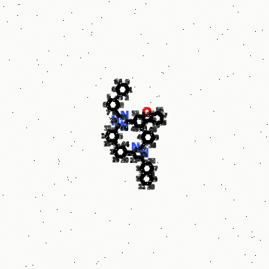 c1ccc(-c2cccc(-c3nc(-c4cccc(-c5cccc(-c6cc(-c7ccc8ccccc8c7)nc(-c7ccccc7)n6)c5)c4)nc(-c4ccc5c(c4)oc4ccccc45)n3)c2)cc1